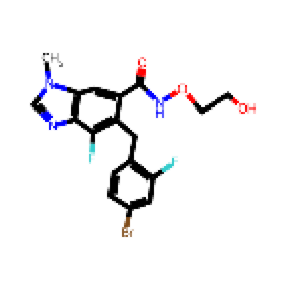 Cn1cnc2c(F)c(Cc3ccc(Br)cc3F)c(C(=O)NOCCO)cc21